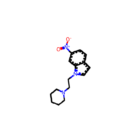 O=[N+]([O-])c1ccc2ccn(CCN3CCCCC3)c2c1